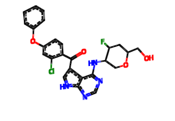 O=C(c1ccc(Oc2ccccc2)cc1Cl)c1c[nH]c2ncnc(NC3COC(CO)CC3F)c12